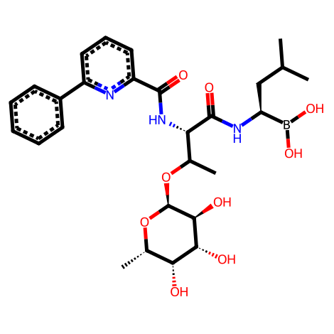 CC(C)C[C@H](NC(=O)[C@@H](NC(=O)c1cccc(-c2ccccc2)n1)C(C)O[C@@H]1O[C@@H](C)[C@@H](O)[C@@H](O)[C@@H]1O)B(O)O